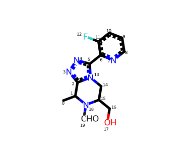 CC1c2nnc(-c3ncccc3F)n2CC(CO)N1C=O